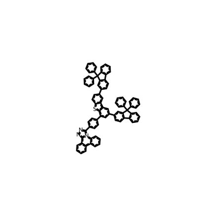 c1ccc(C2(c3ccccc3)c3ccccc3-c3ccc(-c4ccc5sc6c(-c7ccc(-c8nnc9c%10ccccc%10c%10ccccc%10n89)cc7)cc(-c7ccc8c(c7)C(c7ccccc7)(c7ccccc7)c7ccccc7-8)cc6c5c4)cc32)cc1